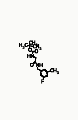 Cc1cc(F)cc(CNC(=O)CNC(=O)OC(C)(C)C)c1